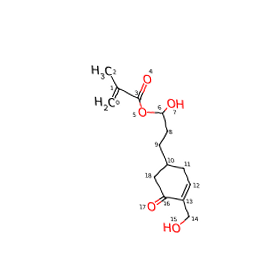 C=C(C)C(=O)OC(O)CCC1CC=C(CO)C(=O)C1